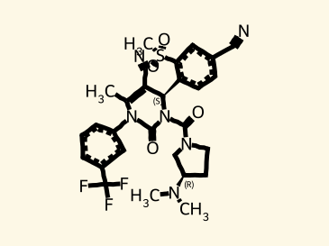 CC1=C(C#N)[C@@H](c2ccc(C#N)cc2S(C)(=O)=O)N(C(=O)N2CC[C@@H](N(C)C)C2)C(=O)N1c1cccc(C(F)(F)F)c1